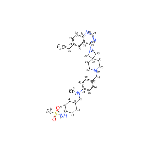 CCN(CC1CCC(NS(=O)(=O)CC)CC1)c1ccc(CN2CCC3(CC2)CN(c2ncnc4ccc(CC(F)(F)F)cc24)C3)cc1